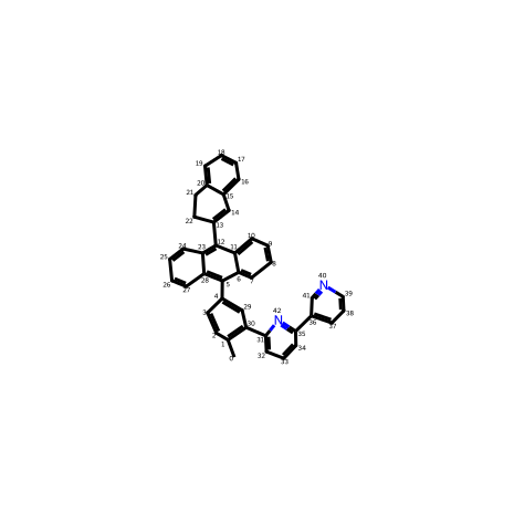 Cc1ccc(-c2c3ccccc3c(C3=Cc4ccccc4CC3)c3ccccc23)cc1-c1cccc(-c2cccnc2)n1